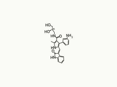 Cc1[nH]c(C=C2C(=O)Nc3ccccc32)c(-c2cccc(N)c2)c1C(=O)NC[C@@H](O)CO